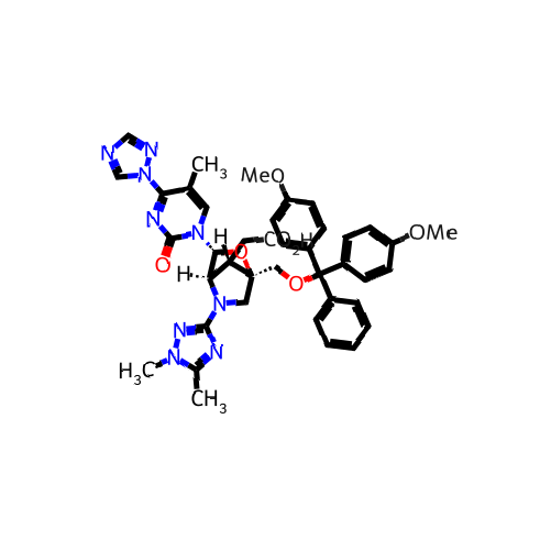 COc1ccc(C(OC[C@@]23CN(c4nc(C)n(C)n4)[C@@H]([C@H](n4cc(C)c(-n5cncn5)nc4=O)O2)[C@@H]3CC(=O)O)(c2ccccc2)c2ccc(OC)cc2)cc1